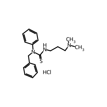 CN(C)CCCNC(=S)N(Cc1ccccc1)c1ccccc1.Cl